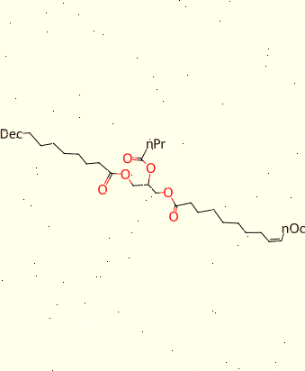 CCCCCCCC/C=C\CCCCCCCC(=O)OCC(COC(=O)CCCCCCCCCCCCCCCCC)OC(=O)CCC